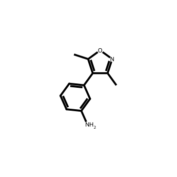 Cc1noc(C)c1-c1cccc(N)c1